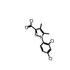 Cc1c(C(=O)Cl)nn(-c2ccc(Cl)cc2Cl)c1C